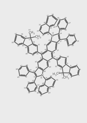 CC1(C)c2ccccc2-c2ccc(-c3c4cc5c(-c6ccccc6)c(-c6ccccc6)n(-c6cccc7ccccc67)c5cc4c(-c4ccc5c(c4)C(C)(C)c4ccccc4-5)c4cc5c(-c6ccccc6)c(-c6ccccc6)n(-c6cccc7ccccc67)c5cc34)cc21